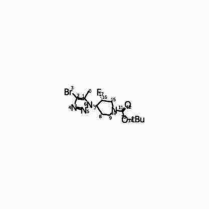 Cc1c(Br)nnn1[C@H]1CCN(C(=O)OC(C)(C)C)C[C@H]1F